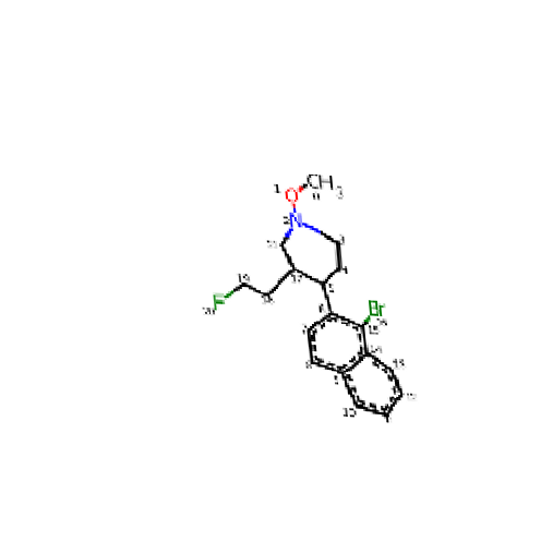 CON1CCC(c2ccc3ccccc3c2Br)C(CCF)C1